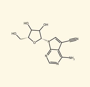 N#Cc1cn([C@@H]2O[C@H](CO)C(O)C2O)c2ncnc(N)c12